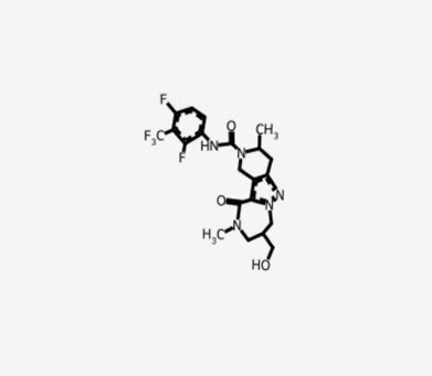 CC1Cc2nn3c(c2CN1C(=O)Nc1ccc(F)c(C(F)(F)F)c1F)C(=O)N(C)CC(CO)C3